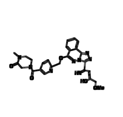 COC/C(O)=C/C(=N)c1nnc2c3ccccc3c(OCc3ccc(C(=O)N4CCN(C)C(=O)C4)cn3)nn12